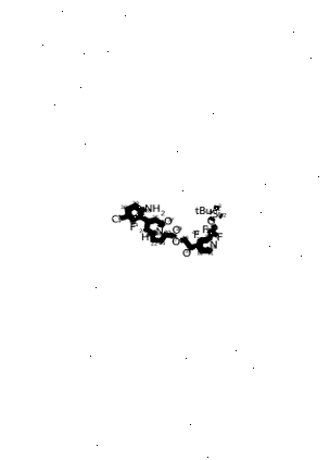 CC(C)(C)[Si](C)(C)OCC(F)(F)c1nccc(C(=O)COC(=O)C2CC[C@@H]3CC(c4c(N)ccc(Cl)c4F)=CC(=O)N23)c1F